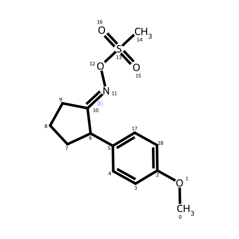 COc1ccc(C2CCC/C2=N\OS(C)(=O)=O)cc1